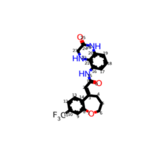 O=C(/C=C1\CCCOc2cc(C(F)(F)F)ccc21)Nc1cccc2c1NCC(=O)N2